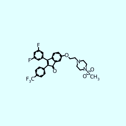 CS(=O)(=O)N1CCN(CCOc2ccc3c(c2)C(=O)C(c2ccc(C(F)(F)F)cc2)=C3c2cc(F)cc(F)c2)CC1